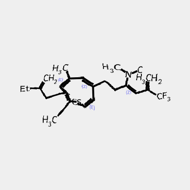 C=C(CC)CC1=C(C)S/C2=C/C(CC/C(=C/C(=C)C(F)(F)F)N(C)C)=C\C(C)=C\1CC2